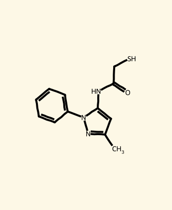 Cc1cc(NC(=O)CS)n(-c2ccccc2)n1